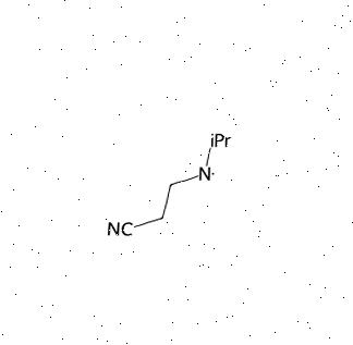 CC(C)[N]CCC#N